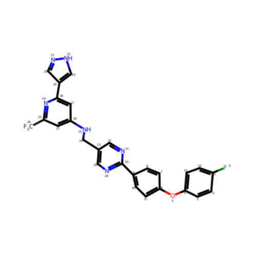 Fc1ccc(Oc2ccc(-c3ncc(CNc4cc(-c5cn[nH]c5)nc(C(F)(F)F)c4)cn3)cc2)cc1